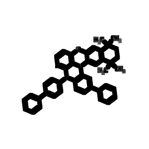 CC1(C)CCC(C)(C)c2cc3c(cc21)Oc1ccnc2c1B3c1cc(-c3ccccc3)ccc1N2c1ccc(-c2ccccc2)cc1